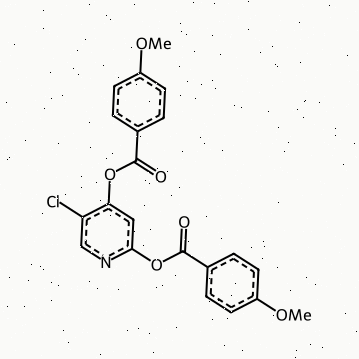 COc1ccc(C(=O)Oc2cc(OC(=O)c3ccc(OC)cc3)c(Cl)cn2)cc1